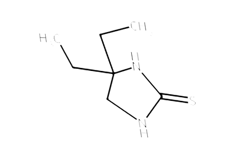 CCC1(CC)CNC(=S)N1